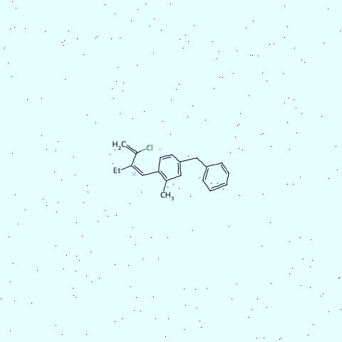 C=C(Cl)/C(=C\c1ccc(Cc2ccccc2)cc1C)CC